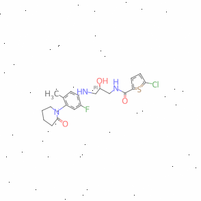 Cc1cc(NC[C@@H](O)CNC(=O)c2ccc(Cl)s2)c(F)cc1N1CCCCC1=O